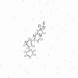 FC(F)(F)N1C=C2N=C(c3cncc(-c4ccccc4)c3)C=CN2C1